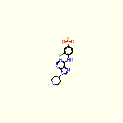 CS(=O)(=O)c1ccc(Nc2ncnc3c2ncn3C2CCNCC2)c(F)c1